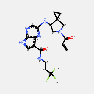 C=CC(=O)N1CC(Nc2cnc3[nH]cc(C(=O)NCCC(F)(F)F)c3n2)C2(CC2)C1